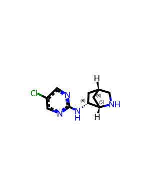 Clc1cnc(N[C@@H]2C[C@@H]3CN[C@H]2C3)nc1